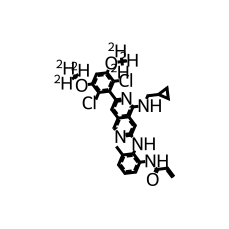 [2H]C([2H])([2H])Oc1cc(OC([2H])([2H])[2H])c(Cl)c(-c2cc3cnc(Nc4c(C)cccc4NC(=O)C=C)cc3c(NCC3CC3)n2)c1Cl